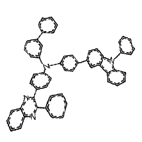 c1ccc(-c2cccc(N(c3ccc(-c4ccc5c(c4)c4ccccc4n5-c4ccccc4)cc3)c3ccc(-c4nc5ccccc5nc4-c4ccccc4)cc3)c2)cc1